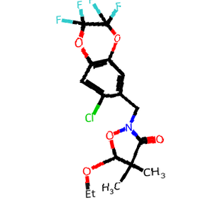 CCOC1ON(Cc2cc3c(cc2Cl)OC(F)(F)C(F)(F)O3)C(=O)C1(C)C